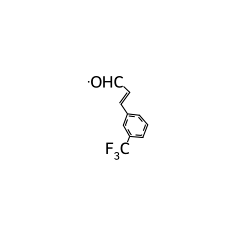 O=[C]C=Cc1cccc(C(F)(F)F)c1